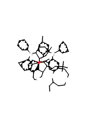 CCC1CCCCCc2cc(N(c3ccccc3)C3(C)CCC4C(C3)C3(c5ccc6c(c5N4c4ccccc4)C6)C(C)C(CCC(C)(C)C)C4CCCCCC43)c(N(c3ccccc3)c3ccc(C)cc3)cc2S1